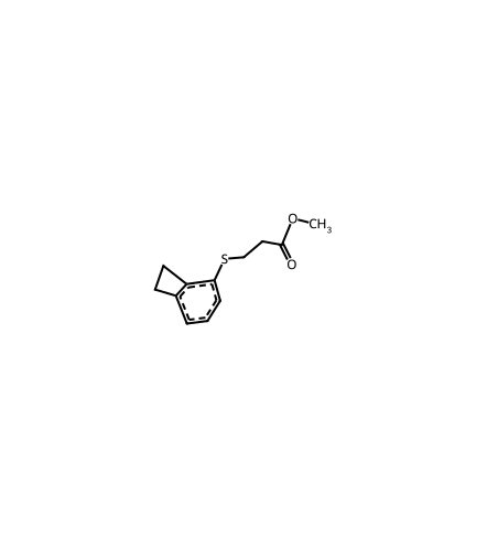 COC(=O)CCSc1cccc2c1CC2